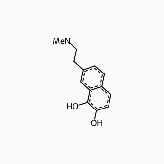 CNCCc1ccc2ccc(O)c(O)c2c1